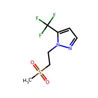 CS(=O)(=O)CCn1nccc1C(F)(F)F